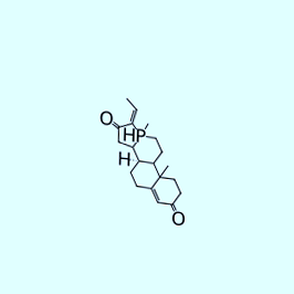 C/C=C1\C(=O)CC2[C@@H]3CCC4=CC(=O)CCC4(C)C3CC[PH]12C